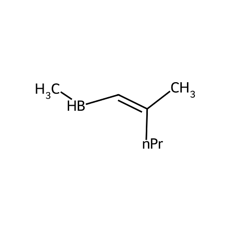 CB/C=C(/C)CCC